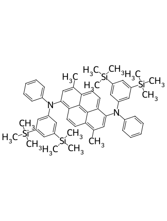 Cc1cc(N(c2ccccc2)c2cc([Si](C)(C)C)cc([Si](C)(C)C)c2)c2ccc3c(C)cc(N(c4ccccc4)c4cc([Si](C)(C)C)cc([Si](C)(C)C)c4)c4ccc1c2c34